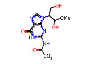 COC(O)C(CO)n1cnc2c(=O)[nH]c(NC(=O)C(Cl)(Cl)Cl)nc21